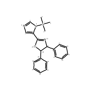 C[Si](C)(C)n1cncc1C1=NC(c2ccccc2)C(c2ccccc2)O1